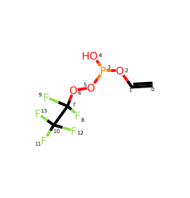 C=COP(O)OOC(F)(F)C(F)(F)F